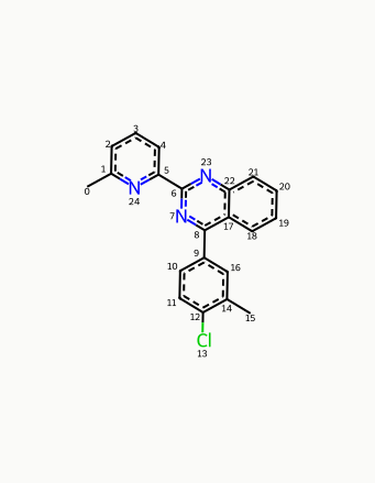 Cc1cccc(-c2nc(-c3ccc(Cl)c(C)c3)c3ccccc3n2)n1